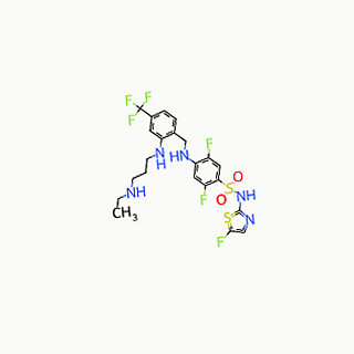 CCNCCCNc1cc(C(F)(F)F)ccc1CNc1cc(F)c(S(=O)(=O)Nc2ncc(F)s2)cc1F